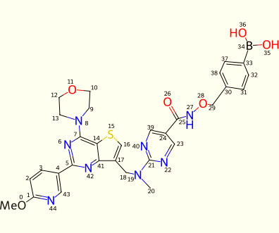 COc1ccc(-c2nc(N3CCOCC3)c3scc(CN(C)c4ncc(C(=O)NOCc5ccc(B(O)O)cc5)cn4)c3n2)cn1